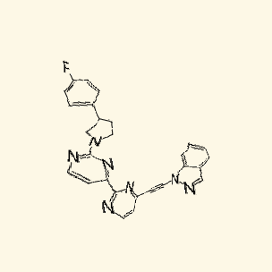 Fc1ccc(C2CCN(c3nccc(-c4nccc(C#Cn5ncc6ccccc65)n4)n3)C2)cc1